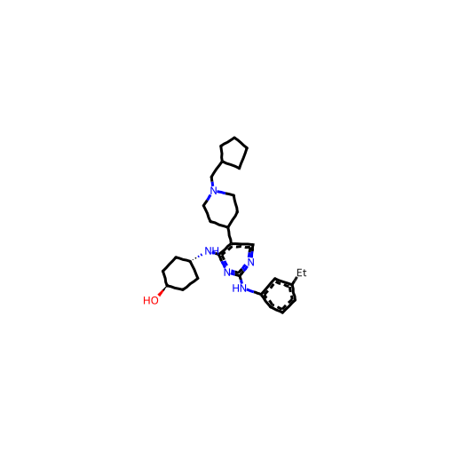 CCc1cccc(Nc2ncc(C3CCN(CC4CCCC4)CC3)c(N[C@H]3CC[C@H](O)CC3)n2)c1